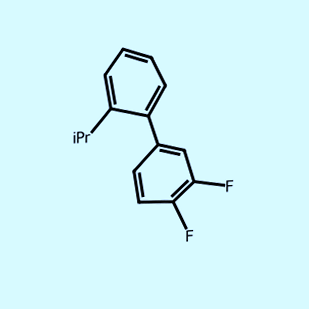 CC(C)c1ccccc1-c1ccc(F)c(F)c1